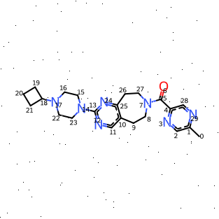 Cc1cnc(C(=O)N2CCc3cnc(N4CCN(C5CCC5)CC4)nc3CC2)cn1